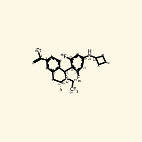 C=C(CC)c1ccc2c(c1)C[C@@H](C)N(CC(F)(F)F)C2c1c(F)cc(NC2CCC2)cc1F